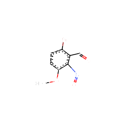 COc1ccc(Br)c(C=O)c1N=O